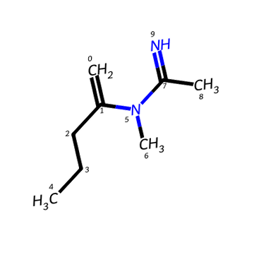 C=C(CCC)N(C)C(C)=N